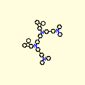 c1ccc(N(c2ccccc2)c2ccc(-c3ccc(N(c4ccc(-c5ccc(N(c6ccc(-c7ccc(N(c8ccccc8)c8ccccc8)cc7)cc6)c6ccc7c(c6)C6(CCCCC6)c6ccccc6-7)cc5)cc4)c4ccc5c(c4)C4(CCCCC4)c4ccccc4-5)cc3)cc2)cc1